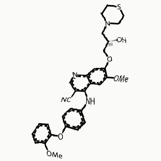 COc1cc2c(Nc3ccc(Oc4ccccc4OC)cc3)c(C#N)cnc2cc1OC[C@@H](O)CN1CCSCC1